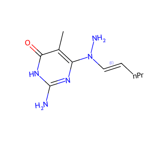 CCC/C=C/N(N)c1nc(N)[nH]c(=O)c1C